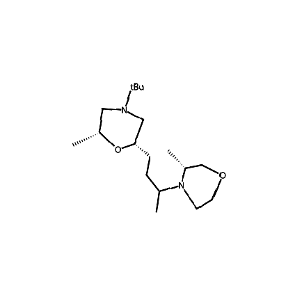 CC(CC[C@H]1CN(C(C)(C)C)C[C@@H](C)O1)N1CCOC[C@H]1C